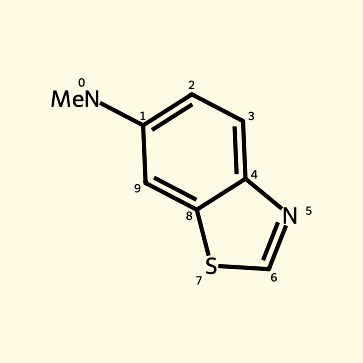 CNc1ccc2ncsc2c1